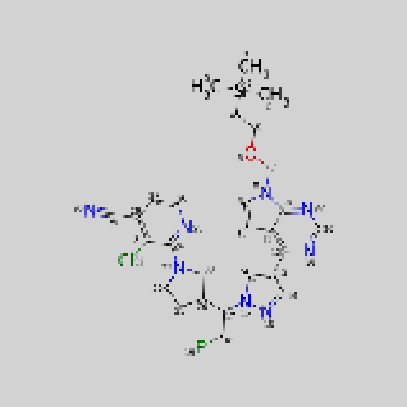 C[Si](C)(C)CCOCn1ccc2c(-c3cnn(C(CF)C4CCN(c5nccc(C#N)c5Cl)C4)c3)ncnc21